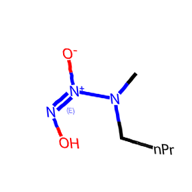 CCCCN(C)/[N+]([O-])=N\O